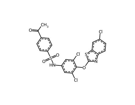 CC(=O)c1ccc(S(=O)(=O)Nc2cc(Cl)c(Oc3nc4ccc(Cl)cc4s3)c(Cl)c2)cc1